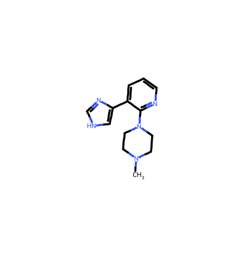 CN1CCN(c2ncccc2-c2c[nH]cn2)CC1